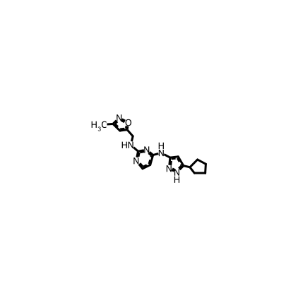 Cc1cc(CNc2nccc(Nc3cc(C4CCCC4)[nH]n3)n2)on1